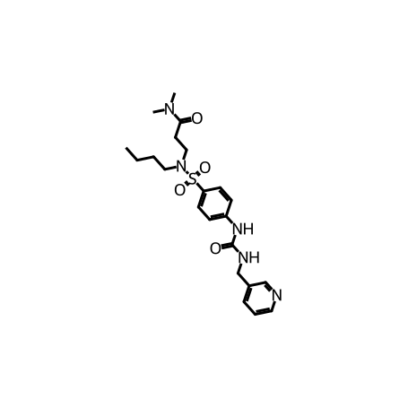 CCCCN(CCC(=O)N(C)C)S(=O)(=O)c1ccc(NC(=O)NCc2cccnc2)cc1